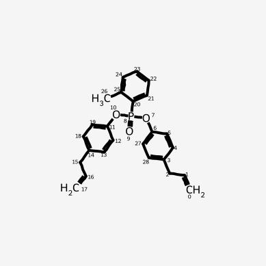 C=CCc1ccc(OP(=O)(Oc2ccc(CC=C)cc2)c2ccccc2C)cc1